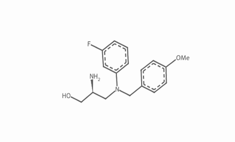 COc1ccc(CN(C[C@H](N)CO)c2cccc(F)c2)cc1